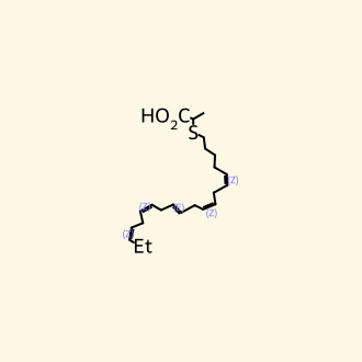 CC/C=C\C/C=C\C/C=C/C/C=C\C/C=C\CCCCSC(C)C(=O)O